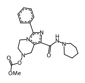 COC(=O)ON1CCn2c(-c3ccccc3)nc(C(=O)NN3CCCCC3)c2C1